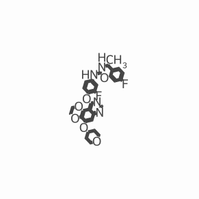 CC(NC(=O)Nc1ccc(Oc2ncnc3cc(OC4CCOCC4)c4c(c23)OCCO4)c(F)c1)c1ccc(F)cc1